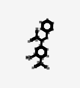 Cc1cc([C](Cc2ccccc2)[N+](=O)[O-])ccc1[N+](=O)[O-]